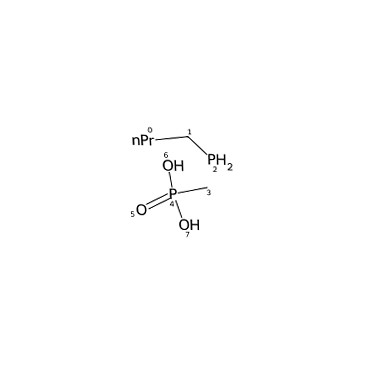 CCCCP.CP(=O)(O)O